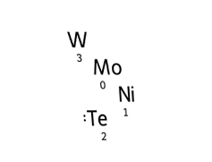 [Mo].[Ni].[Te].[W]